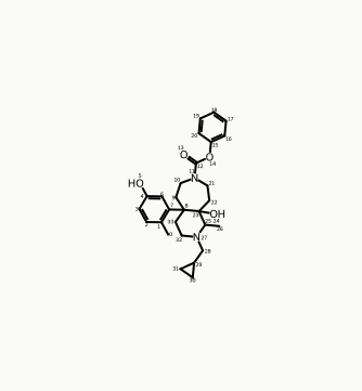 Cc1ccc(O)cc1C12CCN(C(=O)Oc3ccccc3)CCC1(O)C(C)N(CC1CC1)CC2